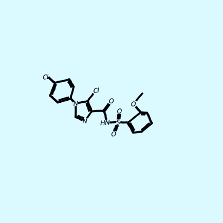 COc1ccccc1S(=O)(=O)NC(=O)c1ncn(-c2ccc(Cl)cc2)c1Cl